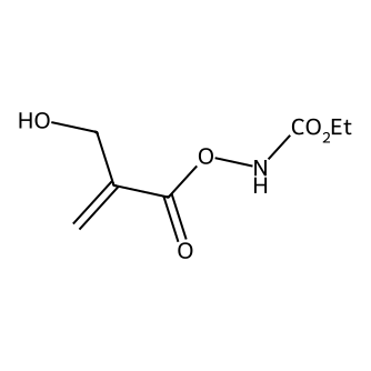 C=C(CO)C(=O)ONC(=O)OCC